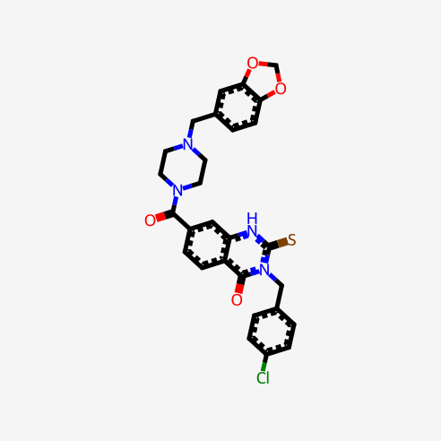 O=C(c1ccc2c(=O)n(Cc3ccc(Cl)cc3)c(=S)[nH]c2c1)N1CCN(Cc2ccc3c(c2)OCO3)CC1